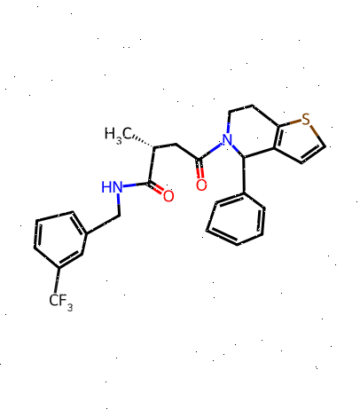 C[C@H](CC(=O)N1CCc2sccc2C1c1ccccc1)C(=O)NCc1cccc(C(F)(F)F)c1